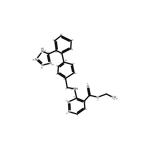 CCOC(=O)c1ccnnc1NCc1ccc(-c2ccccc2-c2nnn[nH]2)cc1